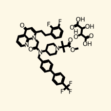 COC(=O)C(C)(C)N1CCC(N(Cc2ccc(-c3ccc(C(F)(F)F)cc3)cc2)C(=O)Cn2c(CCc3cccc(F)c3F)cc(=O)c3cccnc32)CC1.O=C(O)C(O)C(O)C(=O)O